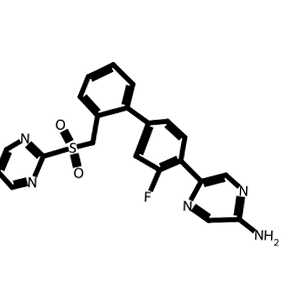 Nc1cnc(-c2ccc(-c3ccccc3CS(=O)(=O)c3ncccn3)cc2F)cn1